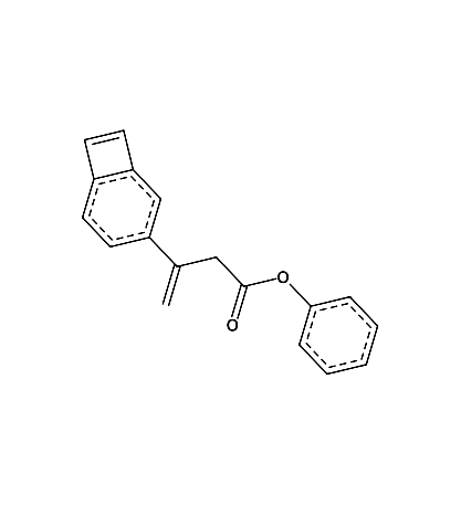 C=C(CC(=O)Oc1ccccc1)c1ccc2c(c1)C=C2